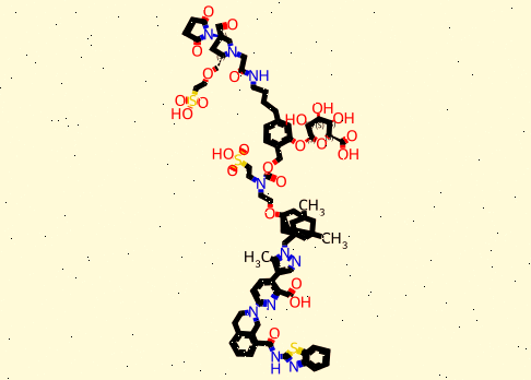 Cc1c(-c2ccc(N3CCc4cccc(C(=O)Nc5nc6ccccc6s5)c4C3)nc2C(=O)O)cnn1CC12CC3(C)CC(C)(C1)CC(OCCN(CCS(=O)(=O)O)C(=O)OCc1ccc(CCCCNC(=O)CN4C[C@](C=O)(N5C(=O)C=CC5=O)C[C@H]4COCCS(=O)(=O)O)cc1O[C@@H]1O[C@H](C(=O)O)[C@@H](O)[C@H](O)[C@H]1O)(C3)C2